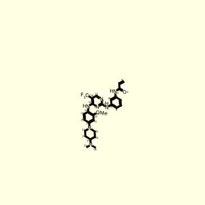 C=CC(=O)Nc1cccc(Nc2ncc(C(F)(F)F)c(Nc3ccc(N4CCC(N(C)C)CC4)cc3OC)n2)c1